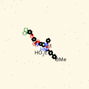 CC[C@@H](c1ccccc1)N1Cc2cc3c(cc2C[C@H]1C(=O)N[C@@H](Cc1ccc(-c2ccc(OC)cc2)cc1)C(=O)O)N(C)C(=O)[C@H](c1ccc(OCc2ccc(Cl)c(Cl)c2)cc1)O3